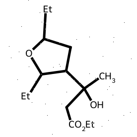 CCOC(=O)CC(C)(O)C1CC(CC)OC1CC